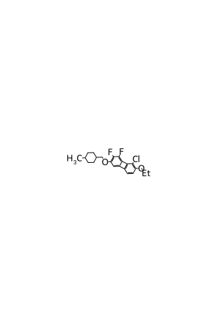 CCOc1ccc2c(c1Cl)-c1c-2cc(OCC2CCC(C)CC2)c(F)c1F